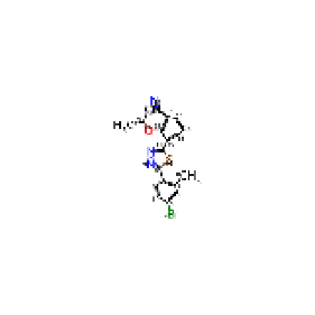 Cc1cc(Br)ccc1-c1nnc(-c2cccc(C#N)c2OC(C)C)s1